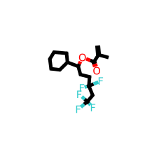 C=C(C)C(=O)OC(CCC(F)(F)CC(F)(F)F)C1CCCCC1